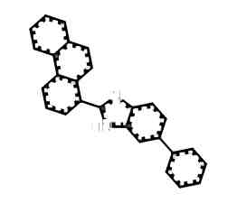 c1ccc(-c2ccc3nc(-c4cccc5c4ccc4ccccc45)[nH]c3c2)cc1